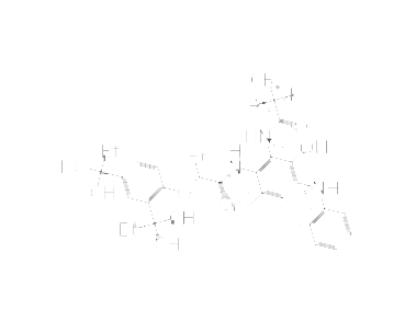 CCC(Oc1ccc(C(C)(C)CC)cc1C(C)(C)CC)C(=O)Nc1c(Cl)cc(Nc2ccccc2)c(O)c1NC(=O)C(F)(F)C(F)(F)F